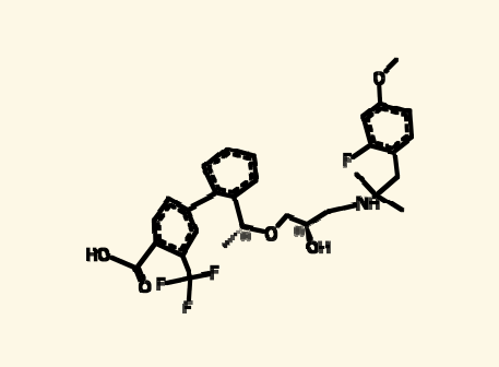 COc1ccc(CC(C)(C)NC[C@@H](O)CO[C@H](C)c2ccccc2-c2ccc(C(=O)O)c(C(F)(F)F)c2)c(F)c1